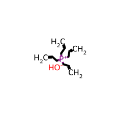 C=CC[P+](CC=C)(CC=C)CC=C.[OH-]